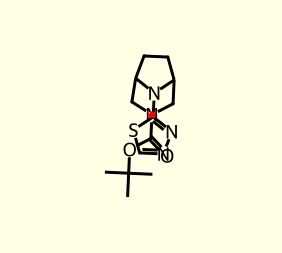 CC(C)(C)OC(=O)N1CC2CCC(C1)N2c1nncs1